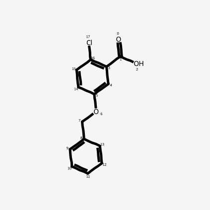 O=C(O)c1cc(OCc2ccccc2)ccc1Cl